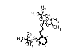 CC(C)OP(=O)(OCCc1ccccc1SSC(C)(C)C)OC(C)(C)C